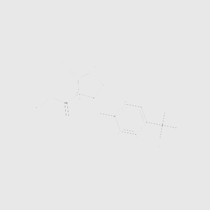 CC(C)(C)OC(=O)N1[C@@H](Cc2ccc(C(C)(F)F)cc2)COS1=O